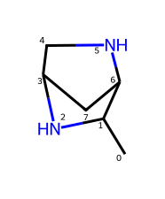 CC1NC2CNC1C2